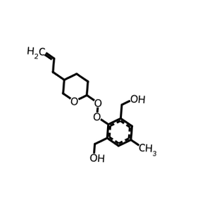 C=CCC1CCC(OOc2c(CO)cc(C)cc2CO)OC1